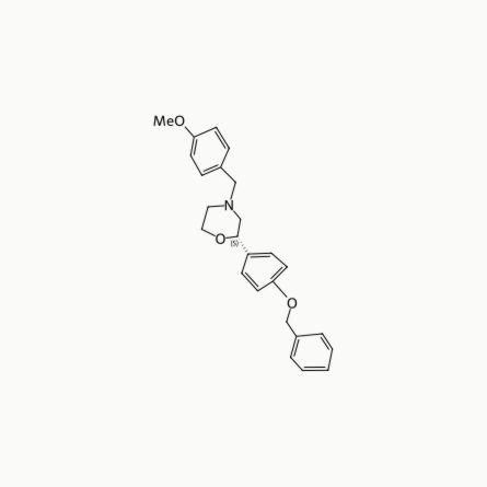 COc1ccc(CN2CCO[C@@H](c3ccc(OCc4ccccc4)cc3)C2)cc1